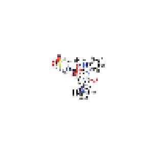 CC(C)n1c(=O)n(C(=O)N[C@@H]2C[C@H]3CC[C@@H](C2)N3CCCOC(=O)N2CCS(=O)(=O)CC2)c2ccccc21